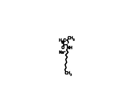 CCCCCCCCCCN[C@@H](CC(C)C)C(=O)[O-].[Na+]